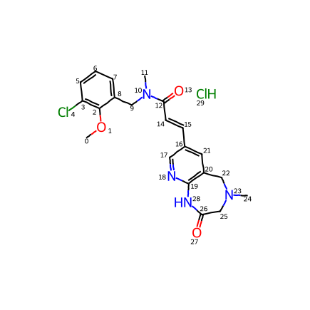 COc1c(Cl)cccc1CN(C)C(=O)/C=C/c1cnc2c(c1)CN(C)CC(=O)N2.Cl